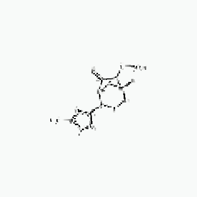 Nc1noc([C@@H]2CC[C@@H]3CN2C(=O)N3OS(=O)(=O)O)n1